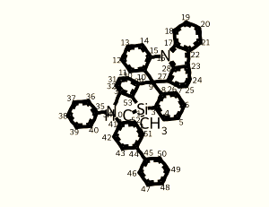 C[Si]1(C)c2ccccc2C2(c3ccccc3-n3c4ccccc4c4cccc2c43)c2cccc(N(c3ccccc3)c3ccc(-c4ccccc4)cc3)c21